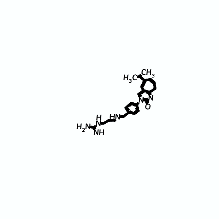 CC(C)C1=Cc2cn(-c3ccc(CNCCCNC(=N)N)cc3)c(=O)nc2CC=C1